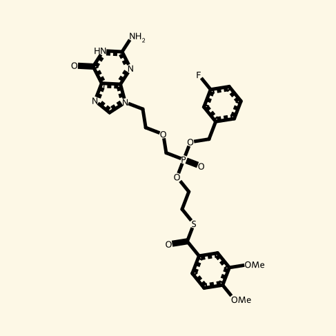 COc1ccc(C(=O)SCCOP(=O)(COCCn2cnc3c(=O)[nH]c(N)nc32)OCc2cccc(F)c2)cc1OC